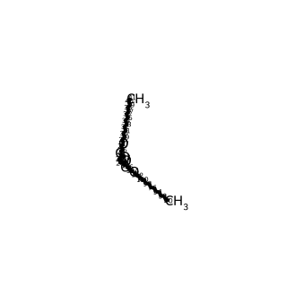 CCCCCCCCCCCCCCOCCOC(=O)/C=C\C(=O)OCCOCCCCCCCCCCCCCC